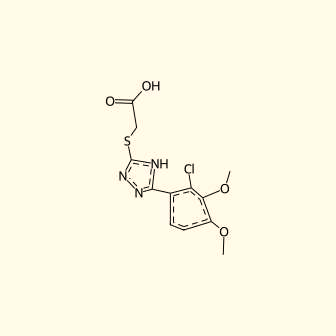 COc1ccc(-c2nnc(SCC(=O)O)[nH]2)c(Cl)c1OC